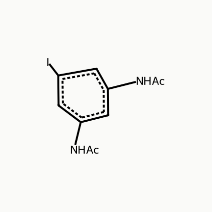 CC(=O)Nc1cc(I)cc(NC(C)=O)c1